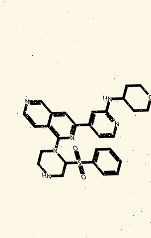 O=S(=O)(c1ccccc1)C1CNCCN1c1nc(-c2ccnc(NC3CCOCC3)c2)cc2cnccc12